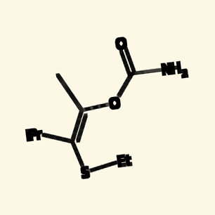 CCSC(=C(C)OC(N)=O)C(C)C